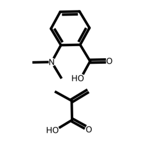 C=C(C)C(=O)O.CN(C)c1ccccc1C(=O)O